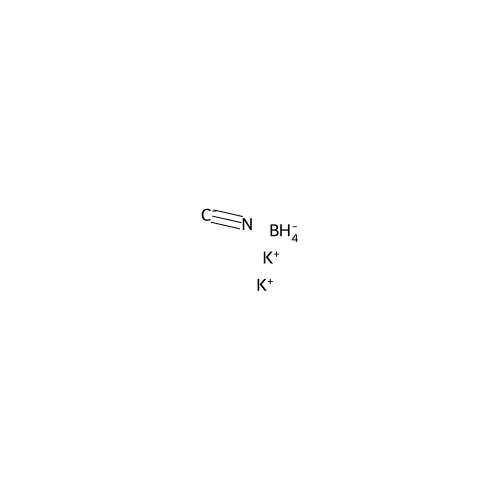 [BH4-].[C-]#N.[K+].[K+]